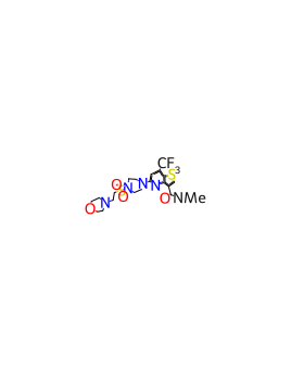 CNC(=O)c1csc2c(C(F)(F)F)cc(N3CCN(S(=O)(=O)CCN4CCOCC4)CC3)nc12